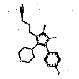 Cc1c(CCCC#N)c(C2CCOCC2)n(-c2ccc(F)cc2)c1C